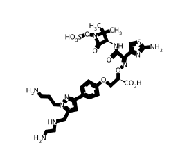 CC1(C)[C@H](NC(=O)/C(=N\O[C@@H](COc2ccc(-c3cc(CNCCN)n(CCCN)n3)cc2)C(=O)O)c2csc(N)n2)C(=O)N1OS(=O)(=O)O